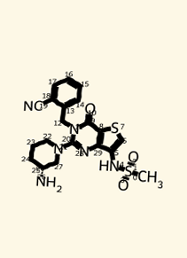 CS(=O)(=O)Nc1csc2c(=O)n(Cc3ccccc3C#N)c(N3CCC[C@@H](N)C3)nc12